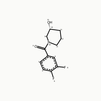 O=C(c1ccc(F)c(F)c1)N1CCC[C@@H](O)C1